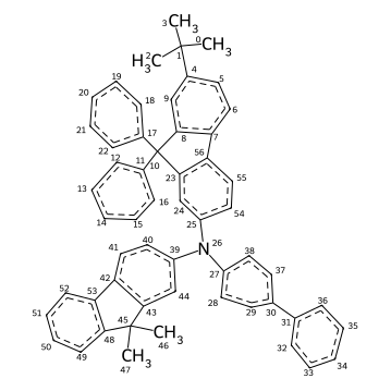 CC(C)(C)c1ccc2c(c1)C(c1ccccc1)(c1ccccc1)c1cc(N(c3ccc(-c4ccccc4)cc3)c3ccc4c(c3)C(C)(C)c3ccccc3-4)ccc1-2